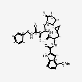 COc1cccc2[nH]c(C(=O)NC(CC3CC3)C(=O)NC(CN3CCNC3=O)C(=O)C(=O)NCc3ccccc3)cc12